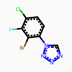 Fc1c(Cl)ccc(-n2cnnn2)c1Br